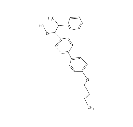 C/C=C/COc1ccc(-c2ccc(C(OO)C(C)c3ccccc3)cc2)cc1